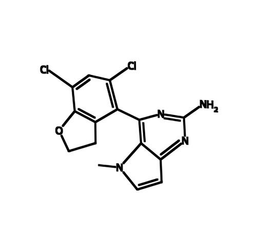 Cn1ccc2nc(N)nc(-c3c(Cl)cc(Cl)c4c3CCO4)c21